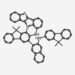 CC1(C)c2ccccc2-c2ccc(Nc3cc4ccccc4cc3-c3cc4c(c5c3Bc3cccc6c7sc8ccccc8c7n-5c36)C(C)(C)c3ccccc3-4)cc21